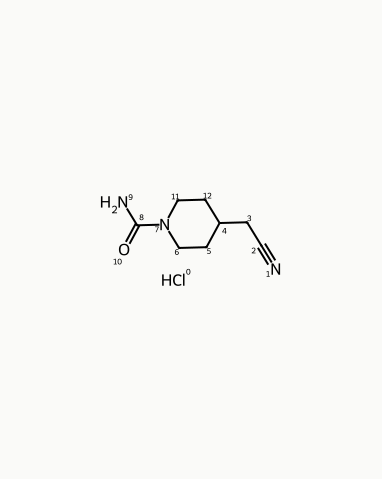 Cl.N#CCC1CCN(C(N)=O)CC1